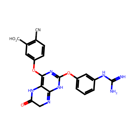 N#Cc1ccc(OC2=C3NC(=O)CN=C3NC(Oc3cccc(NC(=N)N)c3)=N2)cc1C(=O)O